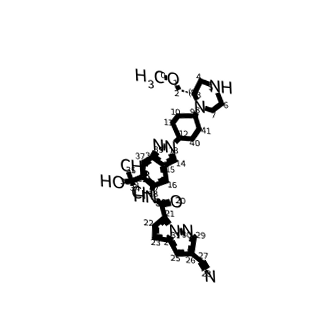 COC[C@@H]1CNCCN1C1CCC(n2cc3cc(NC(=O)c4ccc5cc(C#N)cnn45)c(C(C)(C)O)cc3n2)CC1